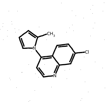 Cc1cccn1-c1ccnc2cc(Cl)ccc12